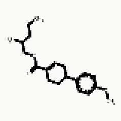 CCCC(C)COC(=O)C1=CCC(c2ccc(OC)cc2)CC1